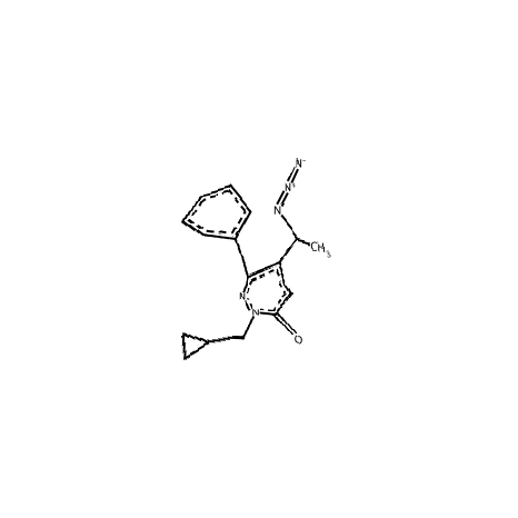 CC(N=[N+]=[N-])c1cc(=O)n(CC2CC2)nc1-c1ccccc1